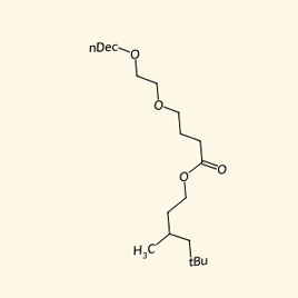 CCCCCCCCCCOCCOCCCC(=O)OCCC(C)CC(C)(C)C